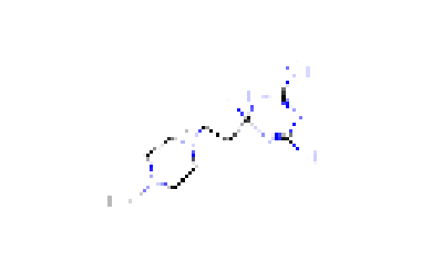 CN1CCN(CCC2(N)N=C(N)N=C(N)N2)CC1